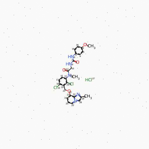 COc1ccc(NC(=O)NCC(=O)N(C)c2ccc(Cl)c(COc3cccn4cc(C)nc34)c2Cl)cc1.Cl